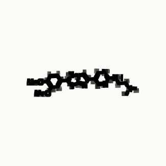 COc1ccc(-c2nn3cc(-c4cnc(NCCN(C)C)nc4)nc3s2)cc1OC